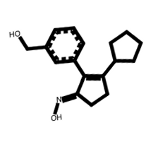 OCc1cccc(C2=C(C3CCCC3)CC/C2=N\O)c1